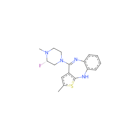 Cc1cc2c(s1)Nc1ccccc1N=C2N1CCN(C)[C@@H](I)C1